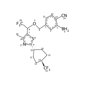 Bc1cc(COC(c2sc([C@H]3CC[C@H](C(F)(F)F)CC3)nc2C)C(F)(F)F)ccc1C#N